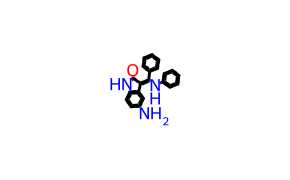 Nc1ccc2c(c1)C(=C(Nc1ccccc1)c1ccccc1)C(=O)N2